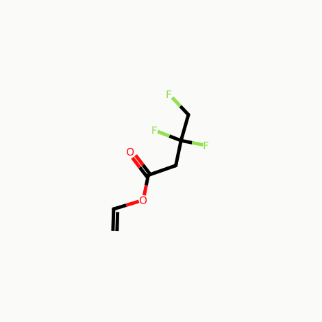 C=COC(=O)CC(F)(F)CF